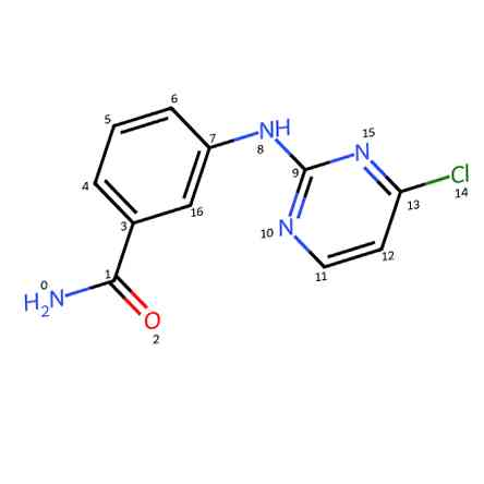 NC(=O)c1cccc(Nc2nccc(Cl)n2)c1